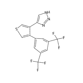 FC(F)(F)c1cc(-c2cscc2-c2c[nH]nn2)cc(C(F)(F)F)c1